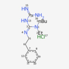 CCCCN(CC)C(=NCCc1ccccc1)NC(=N)N.Cl